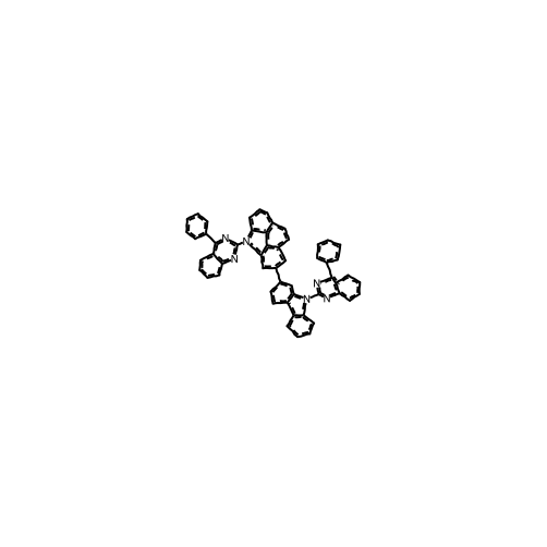 c1ccc(-c2nc(-n3c4ccccc4c4ccc(-c5cc6ccc7cccc8c7c6c(c5)n8-c5nc(-c6ccccc6)c6ccccc6n5)cc43)nc3ccccc23)cc1